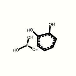 OP(O)O.Oc1ccccc1O